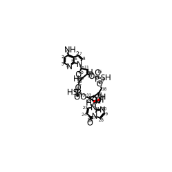 Nc1ccnc2c1ccn2[C@H]1C[C@@H]2O[P@@](=O)(S)OC[C@H]3O[C@@H](n4ccc(=O)n5ccnc45)[C@H](O[P@](=O)(S)OC[C@H]2O1)[C@@H]3O